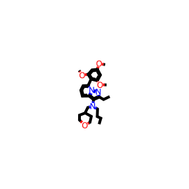 CCCCN(CC1CCOCC1)c1c(CC)nn2c(-c3c(OC)cc(OC)cc3OC)cccc12